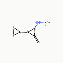 C=C1C(NCCC)C1C1CC1